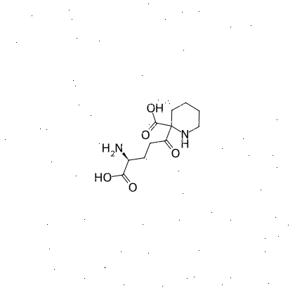 N[C@@H](CCC(=O)C1(C(=O)O)CCCCN1)C(=O)O